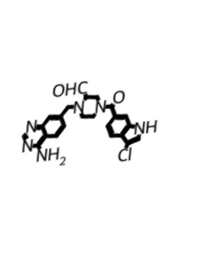 Nc1ncnc2cc(CN3CCN(C(=O)c4ccc5c(Cl)c[nH]c5c4)CC3C=O)ccc12